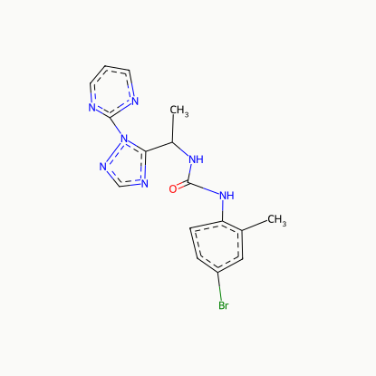 Cc1cc(Br)ccc1NC(=O)NC(C)c1ncnn1-c1ncccn1